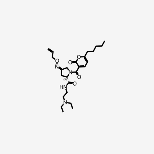 C=CCON=C1C[C@@H](C(=O)NCCN(CC)CC)N(C(=O)c2ccc(CCCCC)oc2=O)C1